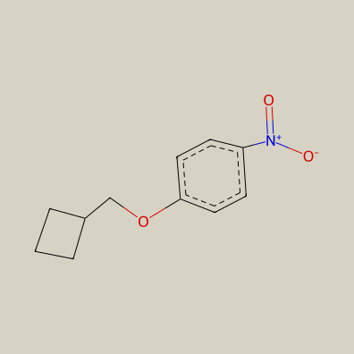 O=[N+]([O-])c1ccc(OCC2CCC2)cc1